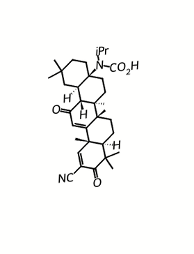 CC(C)N(C(=O)O)[C@]12CCC(C)(C)C[C@@H]1[C@H]1C(=O)C=C3[C@@]4(C)C=C(C#N)C(=O)C(C)(C)[C@@H]4CC[C@@]3(C)[C@]1(C)CC2